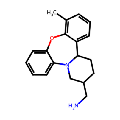 Cc1cccc2c1Oc1ccccc1N1CC(CN)CCC21